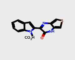 O=C(O)n1c(-c2nc3cscc3[nH]c2=O)cc2ccccc21